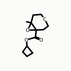 CC12CCCCCC1(C(=O)OC1CCC1)O2